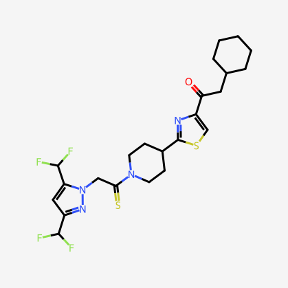 O=C(CC1CCCCC1)c1csc(C2CCN(C(=S)Cn3nc(C(F)F)cc3C(F)F)CC2)n1